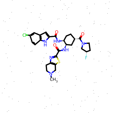 CN1CCc2nc(C(=O)N[C@@H]3C[C@@H](C(=O)N4CC[C@H](F)C4)CC[C@@H]3NC(=O)c3cc4cc(Cl)ccc4[nH]3)sc2C1